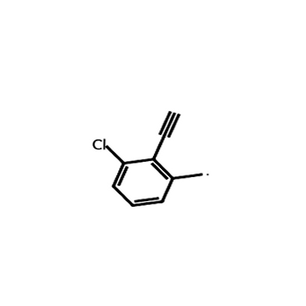 C#Cc1c([CH2])cccc1Cl